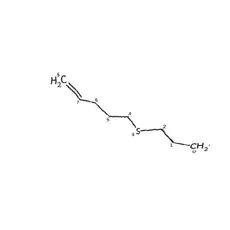 [CH2]CCSCCCC=C